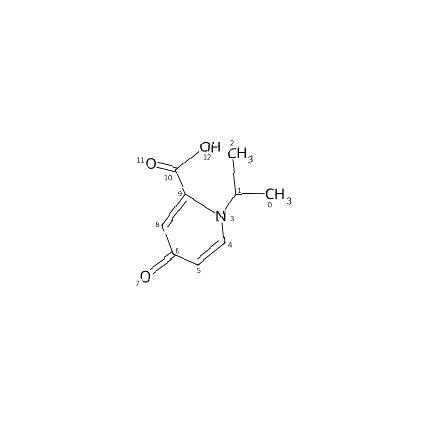 CC(C)n1ccc(=O)cc1C(=O)O